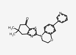 CC1(C)CC(=O)c2sc(N3CCOc4cc(-c5cccnc5)ccc43)nc2C1